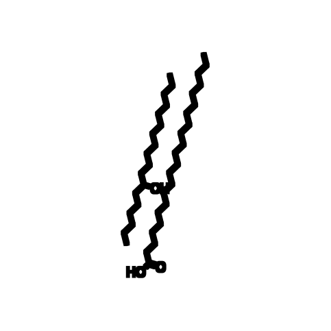 CCCCCCCCCCCC(O)CCCCCC.CCCCCCCCCCCCCCCCCCCCCC(=O)O